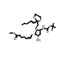 CCCCCC1(CC[C@H]2C(NC(=O)OC(C)(C)C)C[C@H](O)[C@@H]2C/C=C\CCCC(=O)OC)OCCO1